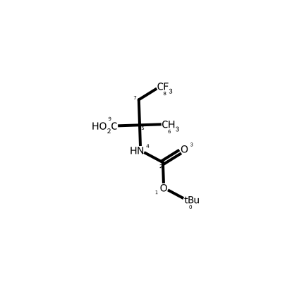 CC(C)(C)OC(=O)NC(C)(CC(F)(F)F)C(=O)O